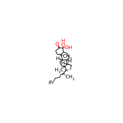 CC(C)CCC[C@@H](C)[C@H]1CC[C@H]2[C@@H]3CCC4C(O)(O)C(=O)CC[C@]4(C)[C@H]3CC[C@]12C